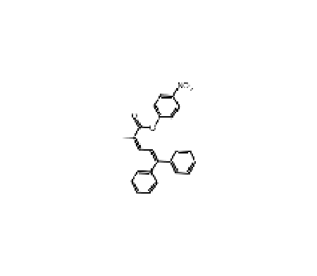 CC(=CC=C(c1ccccc1)c1ccccc1)C(=O)Oc1ccc([N+](=O)[O-])cc1